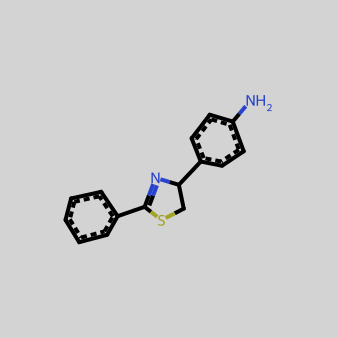 Nc1ccc(C2CSC(c3ccccc3)=N2)cc1